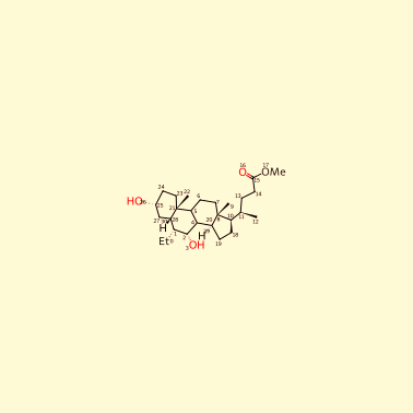 CC[C@H]1[C@@H](O)C2C(CC[C@]3(C)[C@@H]([C@H](C)CCC(=O)OC)CC[C@@H]23)[C@@]2(C)CC[C@@H](O)C[C@@H]12